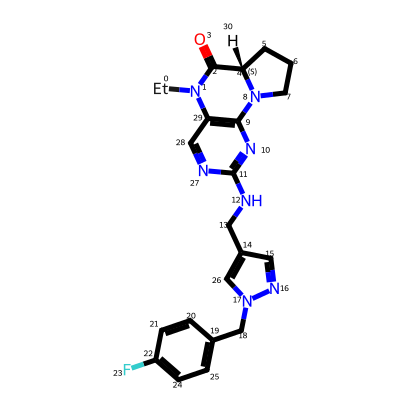 CCN1C(=O)[C@@H]2CCCN2c2nc(NCc3cnn(Cc4ccc(F)cc4)c3)ncc21